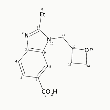 CCc1nc2ccc(C(=O)O)cc2n1CC1CCO1